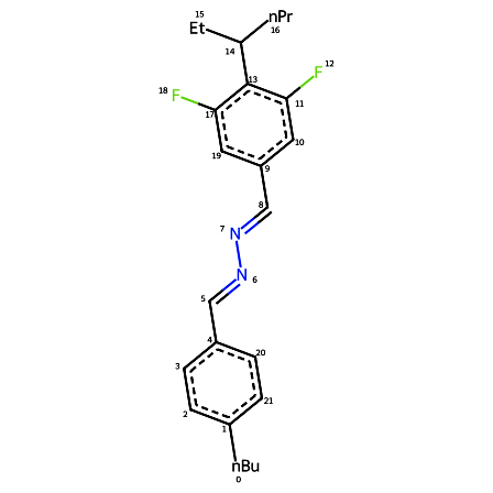 CCCCc1ccc(/C=N/N=C/c2cc(F)c(C(CC)CCC)c(F)c2)cc1